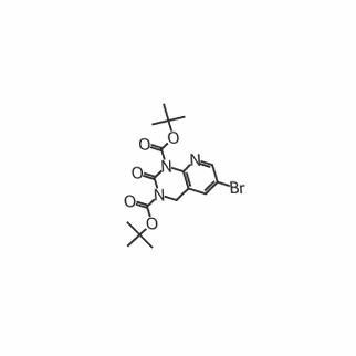 CC(C)(C)OC(=O)N1Cc2cc(Br)cnc2N(C(=O)OC(C)(C)C)C1=O